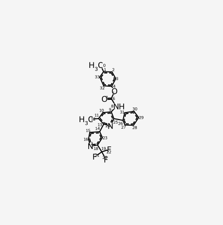 Cc1ccc(OC(=O)Nc2cc(C)c(-c3ccnc(C(F)(F)F)c3)nc2-c2ccccc2)cc1